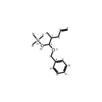 C=CCC(C)C(OCc1ccccc1)O[Si](C)(C)C